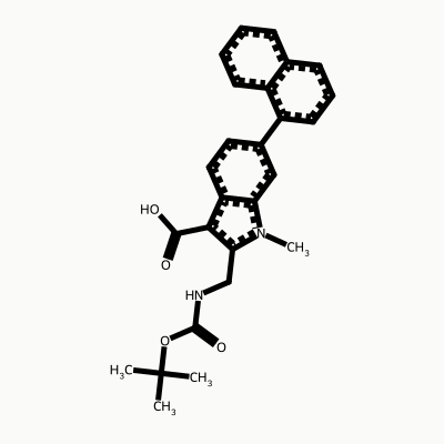 Cn1c(CNC(=O)OC(C)(C)C)c(C(=O)O)c2ccc(-c3cccc4ccccc34)cc21